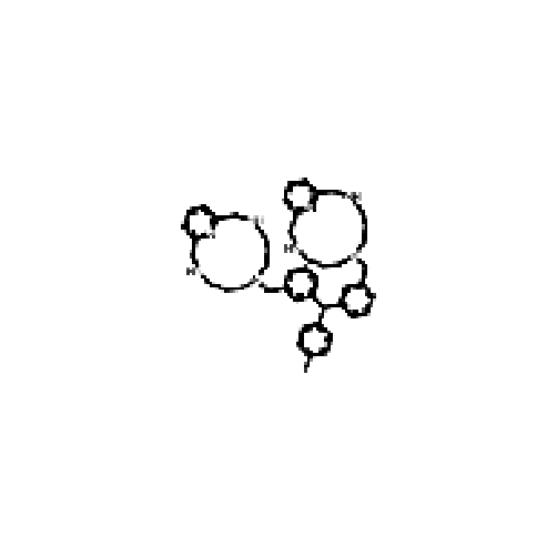 Fc1ccc(C(c2cccc(CN3CCCNCc4cccc(n4)CNCCC3)c2)c2cccc(CN3CCCNCc4cccc(n4)CNCCC3)c2)cc1